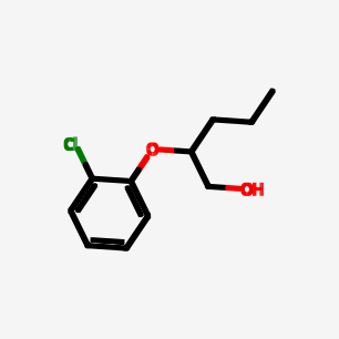 CCCC(CO)Oc1ccccc1Cl